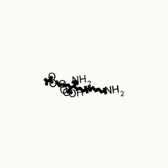 C=C(C)C(=O)OCCOC(=O)CC(C(=O)O)C(C=CCC(C)(C)C(C)(C)CC=CCC(C)(C)N)C(C)(C)N